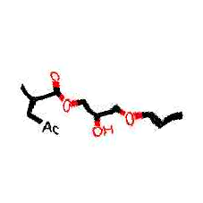 C=CCOCC(O)COC(=O)C(C)CC(C)=O